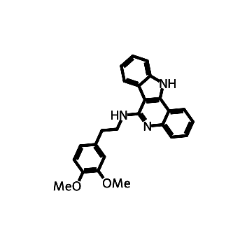 COc1ccc(CCNc2nc3ccccc3c3[nH]c4ccccc4c23)cc1OC